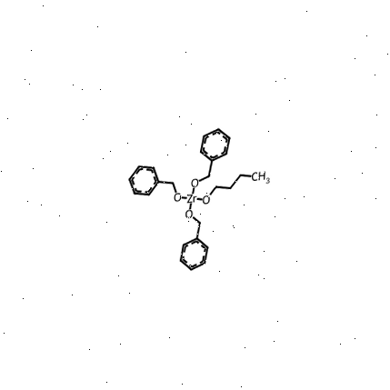 CCCC[O][Zr]([O]Cc1ccccc1)([O]Cc1ccccc1)[O]Cc1ccccc1